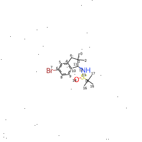 CC1(C)Cc2cc(Br)ccc2[C@@H]1N[S+]([O-])C(C)(C)C